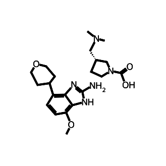 CN(C)C[C@H]1CCN(C(=O)O)C1.COc1ccc(C2CCOCC2)c2nc(N)[nH]c12